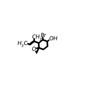 CC=C(C)C1C(Br)C(O)CCC12CO2